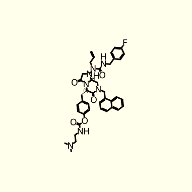 C=CCN(C(=O)NCc1ccc(F)cc1)N1CC(=O)N2[C@@H](Cc3ccc(OC(=O)NCCN(C)C)cc3)C(=O)N(Cc3cccc4ccccc34)C[C@@H]21